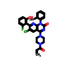 C=CC(=O)N1CCN(c2nc(=O)n(-c3ccccc3CCC)c3nc(-c4c(O)cccc4F)c(Cl)cc23)CC1